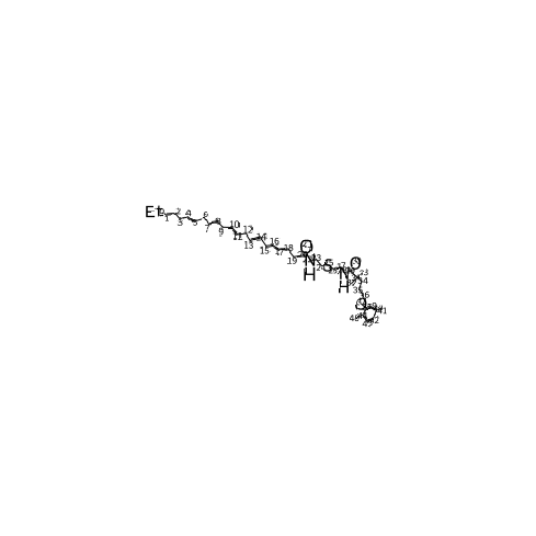 CCC=CCC=CCC=CCC=CCC=CCC=CCCC(=O)NCCSCCNC(=O)C(C)(C)CCCOc1cc(C)ccc1C